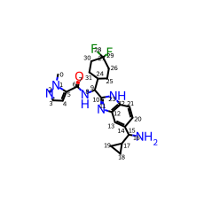 Cn1nccc1C(=O)NC(c1nc2cc(C(N)C3CC3)ccc2[nH]1)C1CCC(F)(F)CC1